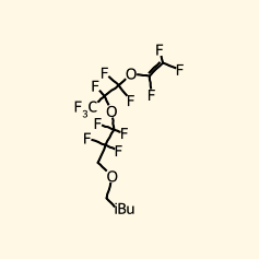 CCC(C)COCC(F)(F)C(F)(F)OC(F)(C(F)(F)F)C(F)(F)OC(F)=C(F)F